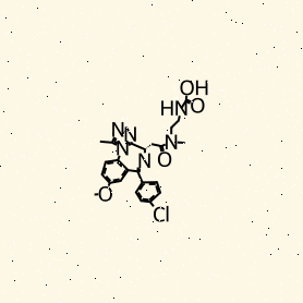 COc1ccc2c(c1)C(c1ccc(Cl)cc1)=N[C@@H](CC(=O)N(C)CCNC(=O)O)c1nnc(C)n1-2